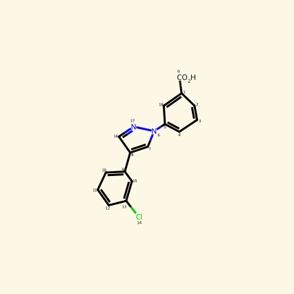 O=C(O)c1cccc(-n2cc(-c3cccc(Cl)c3)cn2)c1